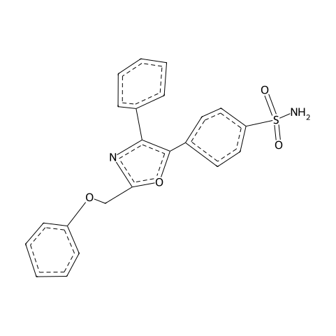 NS(=O)(=O)c1ccc(-c2oc(COc3ccccc3)nc2-c2ccccc2)cc1